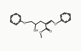 COC(=O)C(=COc1ccccc1)CC(O)COc1ccccc1